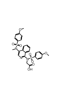 COc1ccc(S(=O)(=O)N(C)c2cnc(N(CC(=O)O)S(=O)(=O)c3ccc(OC)cc3)c3ccccc23)cc1